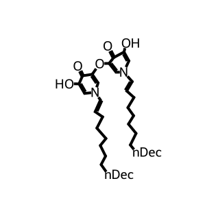 CCCCCCCCCCCCCCCCC=Cn1cc(O)c(=O)c(Oc2cn(C=CCCCCCCCCCCCCCCCC)cc(O)c2=O)c1